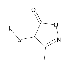 CC1=NOC(=O)C1SI